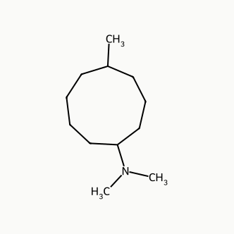 CC1CCCCC(N(C)C)CCC1